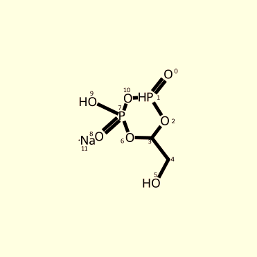 O=[PH]1OC(CO)OP(=O)(O)O1.[Na]